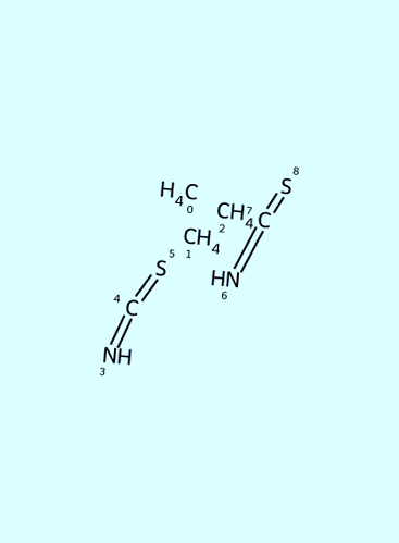 C.C.C.N=C=S.N=C=S